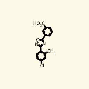 Cc1cc(Cl)ccc1-c1noc(-c2cccc(C(=O)O)c2)n1